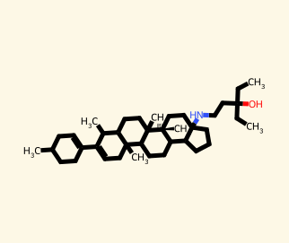 CCC(O)(CC)CCNC12CCCC1C1CCC3C4(C)CC=C(C5=CCC(C)CC5)C(C)C4CCC3(C)[C@]1(C)CC2